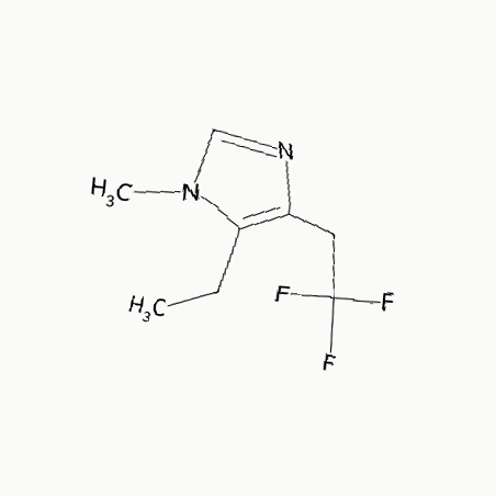 CCc1c(CC(F)(F)F)ncn1C